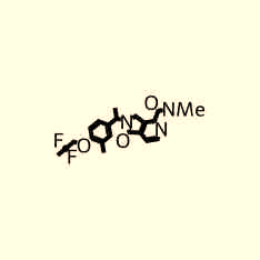 CNC(=O)c1nccc2c1CN(C(C)c1ccc(OCC(C)(F)F)c(C)c1)C2=O